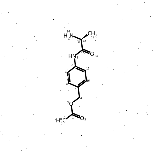 CC(=O)OCc1ccc(NC(=O)[C@H](C)N)cc1